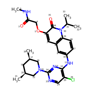 CNC(=O)COc1cc2cc(Nc3nc(N4C[C@H](C)C[C@H](C)C4)ncc3Cl)ccc2n(C(C)C)c1=O